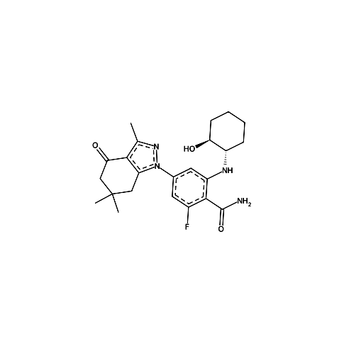 Cc1nn(-c2cc(F)c(C(N)=O)c(N[C@H]3CCCC[C@@H]3O)c2)c2c1C(=O)CC(C)(C)C2